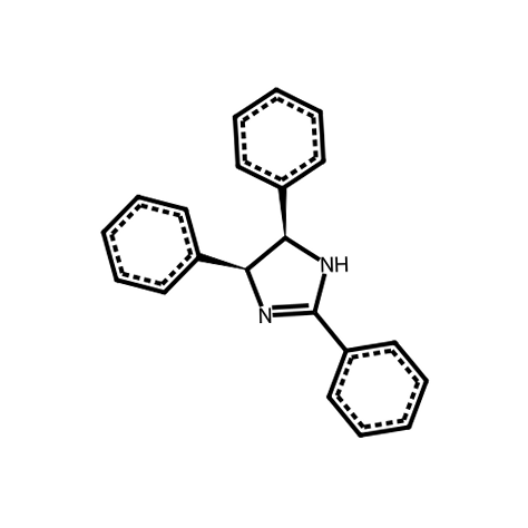 c1ccc(C2=N[C@@H](c3ccccc3)[C@@H](c3ccccc3)N2)cc1